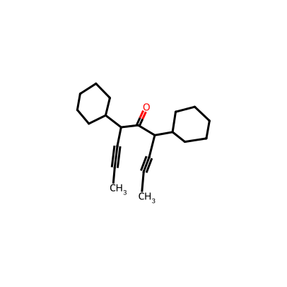 CC#CC(C(=O)C(C#CC)C1CCCCC1)C1CCCCC1